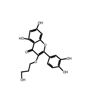 O=c1c(OCCCO)c(-c2ccc(O)c(O)c2)oc2cc(O)cc(O)c12